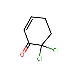 O=C1C=CCCC1(Cl)Cl